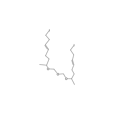 CC(CCC=CCCI)OCOCOC(C)CCC=CCCI